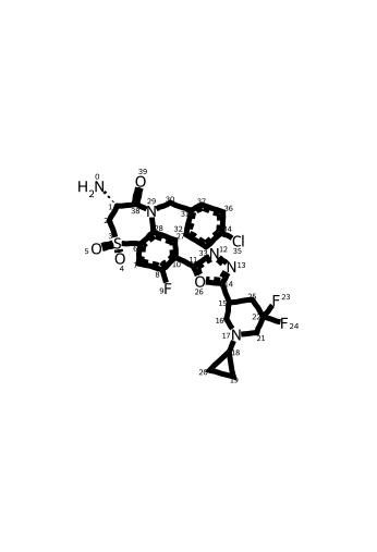 N[C@H]1CS(=O)(=O)c2cc(F)c(-c3nnc(C4CN(C5CC5)CC(F)(F)C4)o3)cc2N(Cc2ccc(Cl)cc2)C1=O